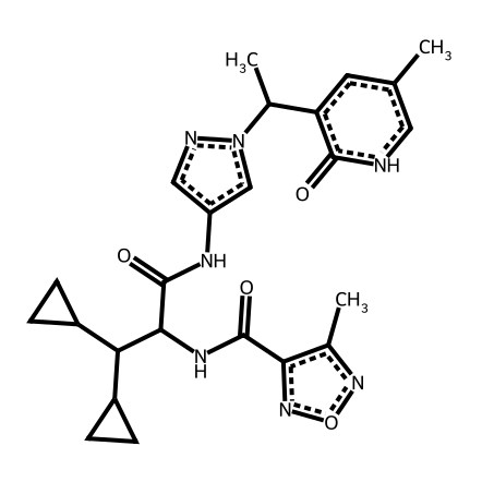 Cc1c[nH]c(=O)c(C(C)n2cc(NC(=O)C(NC(=O)c3nonc3C)C(C3CC3)C3CC3)cn2)c1